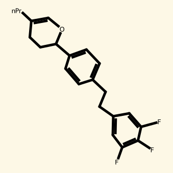 CCCC1=COC(c2ccc(CCc3cc(F)c(F)c(F)c3)cc2)CC1